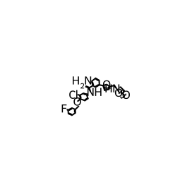 C=C(Nc1ccc(OCc2cccc(F)c2)c(Cl)c1)c1cc(-c2ccc(CNCCS(C)(=O)=O)o2)ccc1N